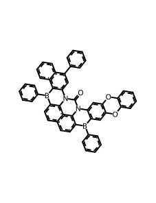 O=C1N2c3cc4c(cc3B(c3ccccc3)c3ccc5ccc6c(c5c32)N1c1cc(-c2ccccc2)c2ccccc2c1B6c1ccccc1)Oc1ccccc1O4